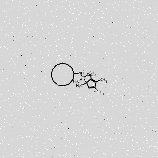 CC1=C[C](C)([Ti]([CH3])([CH3])[NH]C2CCCCCCCCCCC2)C(C)=C1C